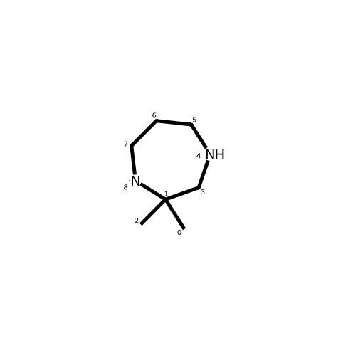 CC1(C)CNCCC[N]1